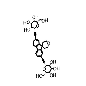 OC[C@@H]1O[C@H](C#Cc2ccc3c(c2)C2(CCOCC2)c2cc(C#C[C@H]4O[C@H](CO)[C@@H](O)[C@H](O)[C@@H]4O)ccc2-3)[C@@H](O)[C@@H](O)[C@@H]1O